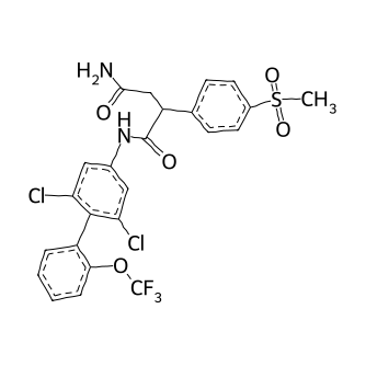 CS(=O)(=O)c1ccc(C(CC(N)=O)C(=O)Nc2cc(Cl)c(-c3ccccc3OC(F)(F)F)c(Cl)c2)cc1